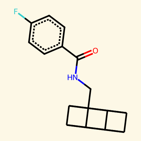 O=C(NCC12C3C4C5C3C1C5C42)c1ccc(F)cc1